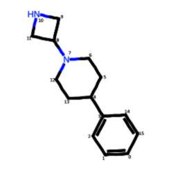 c1ccc(C2CCN(C3CNC3)CC2)cc1